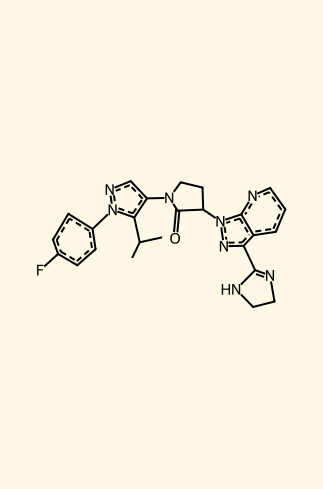 CC(C)c1c(N2CCC(n3nc(C4=NCCN4)c4cccnc43)C2=O)cnn1-c1ccc(F)cc1